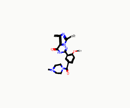 CCCc1nc(C)c2c(=O)[nH]c(-c3cc(C(=O)N4CCN(C)CC4)ccc3OCC)nn12